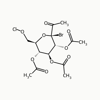 CC(=O)O[C@H]1[C@H](OC(C)=O)[C@@H](COCl)O[C@](Br)(C(C)=O)[C@@H]1OC(C)=O